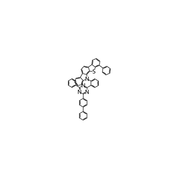 c1ccc(-c2ccc(-c3nc(-c4ccccc4)nc(-c4ccccc4-n4c5ccccc5c5ccc6c7cccc(-c8ccccc8)c7sc6c54)n3)cc2)cc1